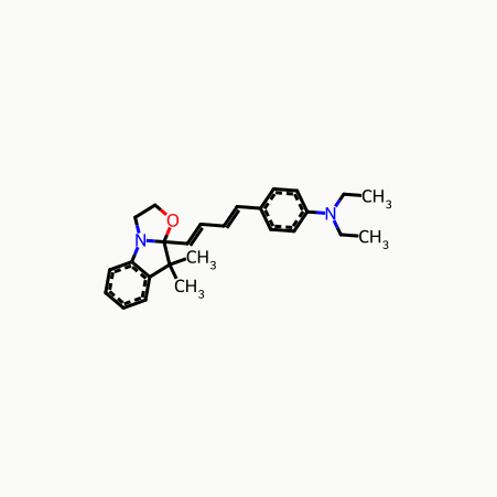 CCN(CC)c1ccc(/C=C/C=C/C23OCCN2c2ccccc2C3(C)C)cc1